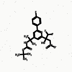 CC(C)(C)OC(=O)NC(C)(C)c1cc(-c2ccc(F)cc2)nc(C(O)(C[N+](=O)[O-])C(F)F)c1